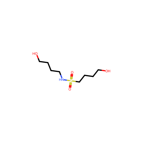 O=S(=O)(CCCCO)NCCCCO